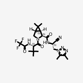 Cc1nnn(C[C@@H](C#N)NC(=O)[C@@H]2[C@H]3[C@H](CN2C(=O)[C@@H](NC(=O)C(F)(F)F)C(C)(C)C)C3(C)C)c1C